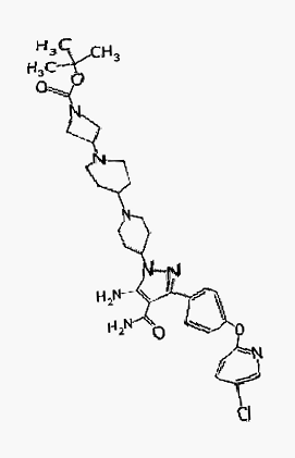 CC(C)(C)OC(=O)N1CC(N2CCC(N3CCC(n4nc(-c5ccc(Oc6ccc(Cl)cn6)cc5)c(C(N)=O)c4N)CC3)CC2)C1